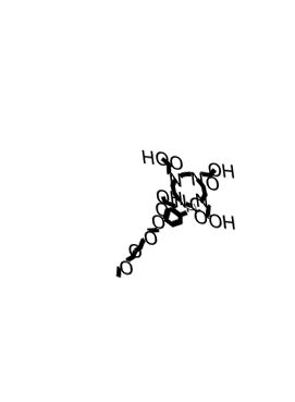 CCOCCOCCOCCOc1ccc(C[C@H]2CN(CC(=O)O)CCN(CC(=O)O)CCN(CC(=O)O)CCN2CC(=O)O)cc1